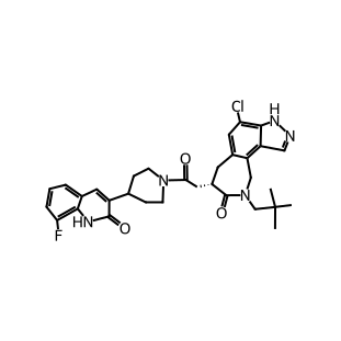 CC(C)(C)CN1Cc2c(cc(Cl)c3[nH]ncc23)C[C@@H](CC(=O)N2CCC(c3cc4cccc(F)c4[nH]c3=O)CC2)C1=O